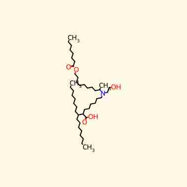 CCCCCCCCC(CCCCCCCC)C(CCCCCCN(CCO)C(C)CCCCCCCCOC(=O)CCCCCCC)C(=O)O